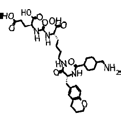 NCC1CCC(C(=O)N[C@H](Cc2ccc3c(c2)CCCO3)C(=O)NCCCC[C@H](NC(=O)N[C@@H](CCC(=O)O)C(=O)O)C(=O)O)CC1